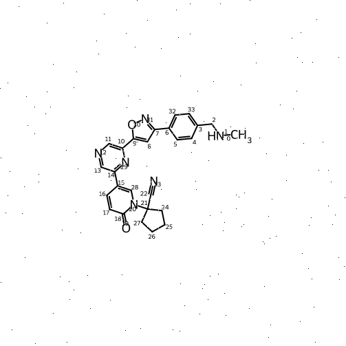 CNCc1ccc(-c2cc(-c3cncc(-c4ccc(=O)n(C5(C#N)CCCC5)c4)n3)on2)cc1